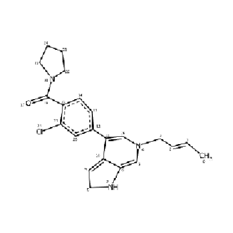 CC=CCN1C=C2NCC=C2C(c2ccc(C(=O)N3CCCC3)c(Cl)c2)=C1